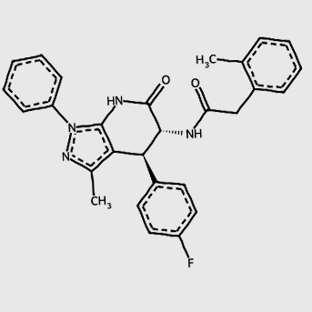 Cc1ccccc1CC(=O)N[C@H]1C(=O)Nc2c(c(C)nn2-c2ccccc2)[C@@H]1c1ccc(F)cc1